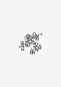 Cc1cnn(C)c1-c1nc(O[C@@H]2C[C@@H](C(=O)N[C@@H](CC3CCC3)C(=O)C(=O)NC3CC3)N(C(=O)[C@@H](NC(=O)NCC3CC3)C(C)(C)C)C2)c2sccc2n1